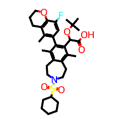 Cc1c(-c2c(C)c3c(c(C)c2C(OC(C)(C)C)C(=O)O)CCN(S(=O)(=O)C2CCCCC2)CC3)cc(F)c2c1CCCO2